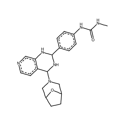 CNC(=O)Nc1ccc(C2Nc3cnccc3C(N3CC4CCC(C3)O4)N2)cc1